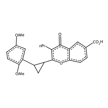 CCCc1c(C2CC2c2cc(OC)ccc2OC)oc2ccc(C(=O)O)cc2c1=O